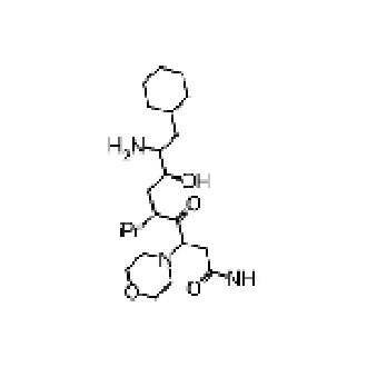 CC(C)[C@@H](C[C@H](O)[C@@H](N)CC1CCCCC1)C(=O)C(CC([NH])=O)N1CCOCC1